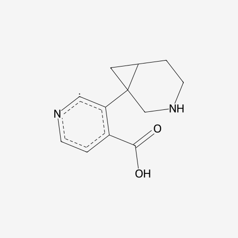 O=C(O)c1ccn[c]c1C12CNCCC1C2